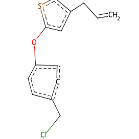 C=CCc1csc(Oc2ccc(CCl)cc2)c1